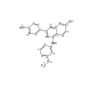 Oc1ccc(-c2nc(Nc3cccc(OC(F)(F)F)c3)c3ccc(Cl)cc3n2)cn1